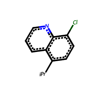 CC(C)c1ccc(Cl)c2ncccc12